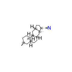 C[C@H]1CC[C@@H]2[C@H](CC[C@@H]3C[C@@]4(C)[C@@H](CC[C@@H]4C#N)C[C@H]32)C1